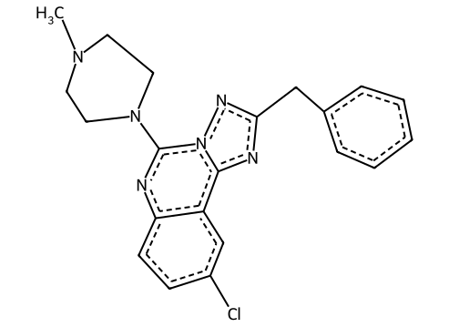 CN1CCN(c2nc3ccc(Cl)cc3c3nc(Cc4ccccc4)nn23)CC1